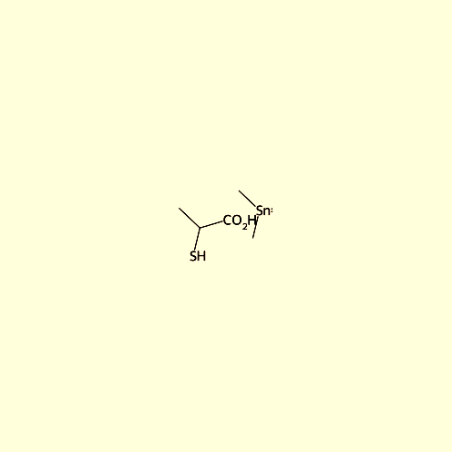 CC(S)C(=O)O.[CH3][Sn][CH3]